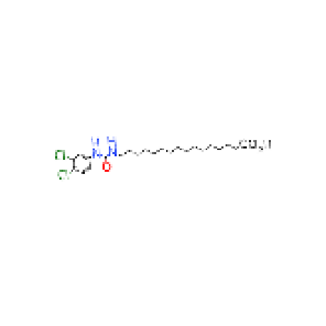 O=C(O)CCCCCCCCCCCCCCCNC(=O)Nc1ccc(Cl)c(Cl)c1